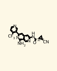 N#C[C@@H]1C[C@H]1C(=O)Nc1cc2cc(-c3cnccc3C(F)(F)F)nc(N)c2cn1